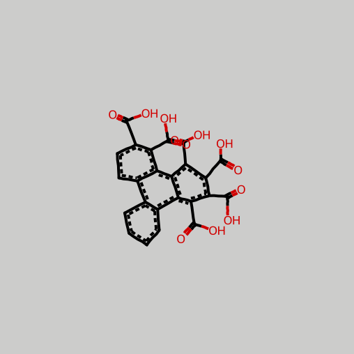 O=C(O)c1ccc2c3ccccc3c3c(C(=O)O)c(C(=O)O)c(C(=O)O)c(C(=O)O)c3c2c1C(=O)O